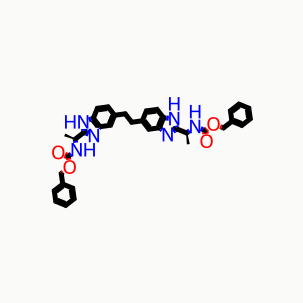 C[C@H](NC(=O)OCc1ccccc1)c1nc2cc(CCc3ccc4[nH]c([C@H](C)NC(=O)OCc5ccccc5)nc4c3)ccc2[nH]1